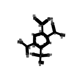 O=C(O)c1cc(S(=O)(=O)O)c(C(=O)O)cc1I(=O)=O